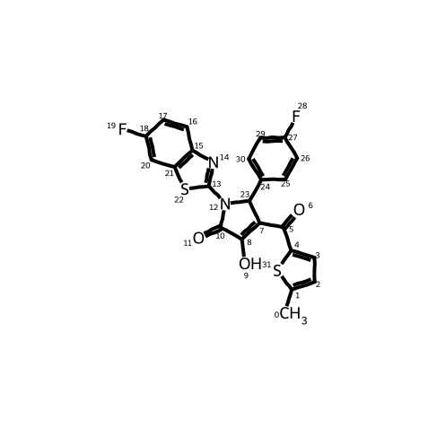 Cc1ccc(C(=O)C2=C(O)C(=O)N(c3nc4ccc(F)cc4s3)C2c2ccc(F)cc2)s1